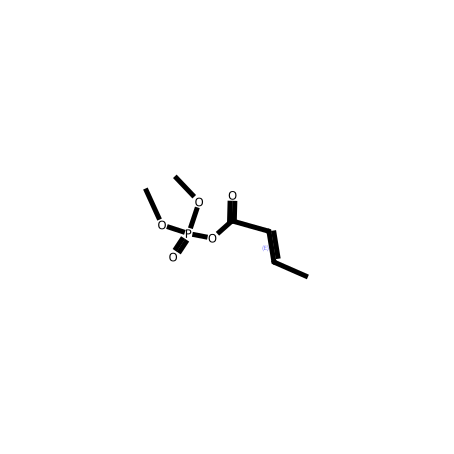 C/C=C/C(=O)OP(=O)(OC)OC